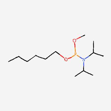 CCCCCCOP(OC)N(C(C)C)C(C)C